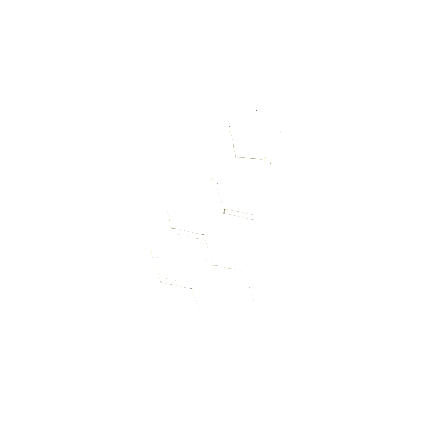 C=C(NC1CCCN1C)c1c(O)ccc(Cl)c1OC